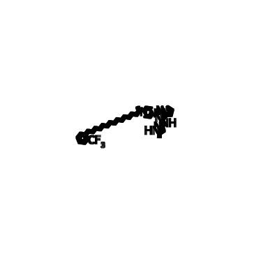 Cc1cc(Nc2nc(N3CCN(C(C)CCCCCCCCCCCCCCc4ccccc4C(F)(F)F)CC3)nn3cccc23)n[nH]1